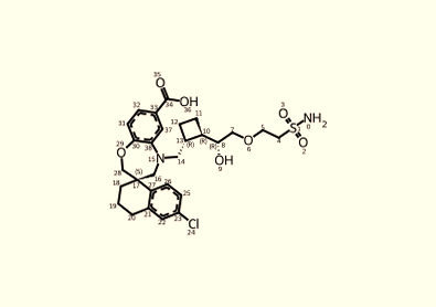 NS(=O)(=O)CCOC[C@H](O)[C@@H]1CC[C@H]1CN1C[C@@]2(CCCc3cc(Cl)ccc32)COc2ccc(C(=O)O)cc21